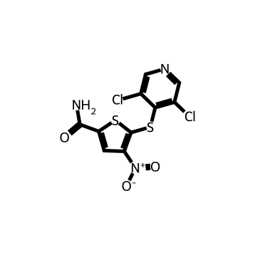 NC(=O)c1cc([N+](=O)[O-])c(Sc2c(Cl)cncc2Cl)s1